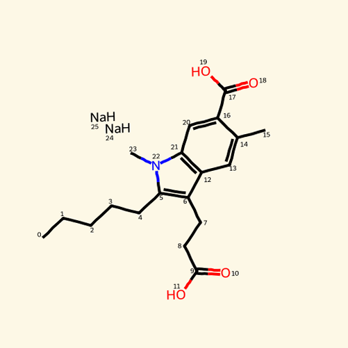 CCCCCc1c(CCC(=O)O)c2cc(C)c(C(=O)O)cc2n1C.[NaH].[NaH]